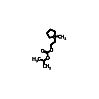 CC(C)OC(=O)OCC[N+]1(C)CCCC1